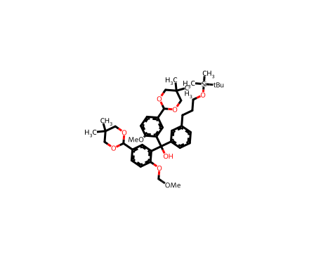 COCOc1ccc(C2OCC(C)(C)CO2)cc1C(O)(c1cccc(CCCO[Si](C)(C)C(C)(C)C)c1)c1cc(C2OCC(C)(C)CO2)ccc1OC